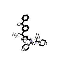 CC(c1cccc(C(=O)c2ccccc2)c1)c1cc(/N=C(/N=C(\N)N2CCOCC2)N2CCOCC2)on1